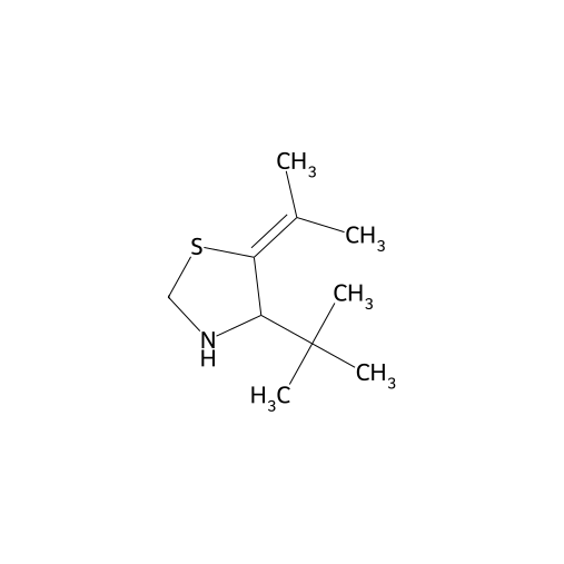 CC(C)=C1SCNC1C(C)(C)C